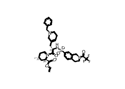 CCOC(=O)[C@H]1C[C@H](C)CCN1C(=O)[C@H](CC1=CCCN(Cc2ccccc2)C1)NS(=O)(=O)c1ccc2c(c1)CN(C(=O)C(F)(F)F)CC2